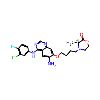 C[C@H]1C(=O)OCCN1CCCCOc1cc2ncnc(Nc3ccc(F)c(Cl)c3)c2cc1N